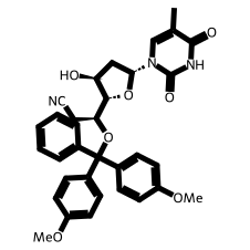 COc1ccc(C(O[C@@H](CC#N)[C@H]2O[C@@H](n3cc(C)c(=O)[nH]c3=O)C[C@@H]2O)(c2ccccc2)c2ccc(OC)cc2)cc1